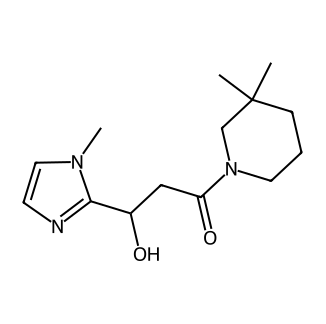 Cn1ccnc1C(O)CC(=O)N1CCCC(C)(C)C1